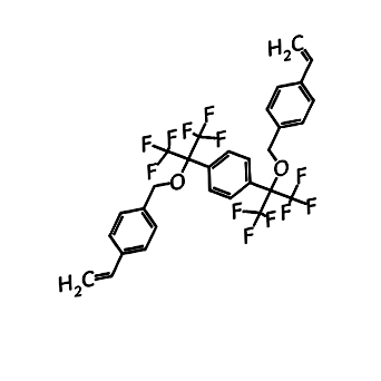 C=Cc1ccc(COC(c2ccc(C(OCc3ccc(C=C)cc3)(C(F)(F)F)C(F)(F)F)cc2)(C(F)(F)F)C(F)(F)F)cc1